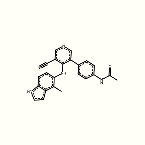 CC(=O)Nc1ccc(-c2cncc(C#N)c2Nc2ccc3[nH]ccc3c2C)cc1